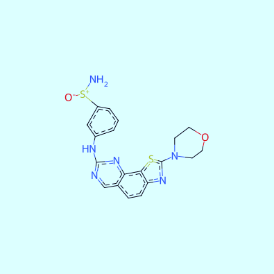 N[S+]([O-])c1cccc(Nc2ncc3ccc4nc(N5CCOCC5)sc4c3n2)c1